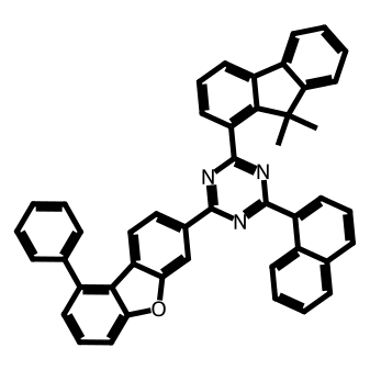 CC1(C)c2ccccc2-c2cccc(-c3nc(-c4ccc5c(c4)oc4cccc(-c6ccccc6)c45)nc(-c4cccc5ccccc45)n3)c21